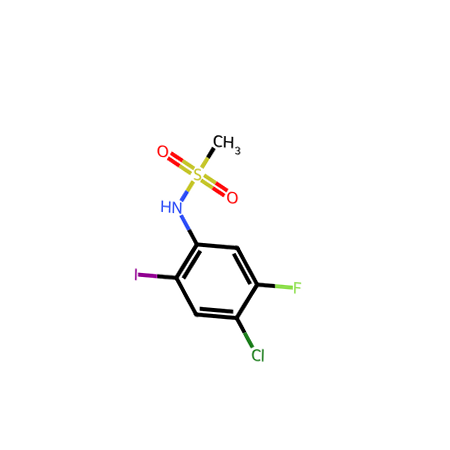 CS(=O)(=O)Nc1cc(F)c(Cl)cc1I